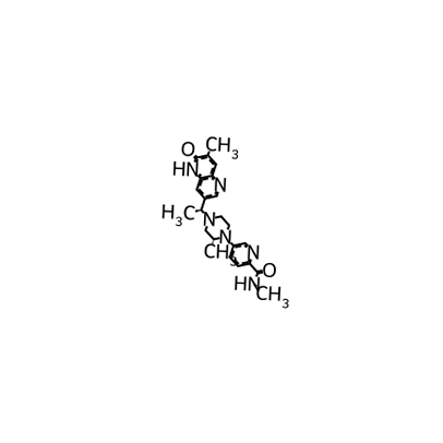 CNC(=O)c1ccc(N2CCN([C@@H](C)c3cnc4cc(C)c(=O)[nH]c4c3)C[C@H]2C)cn1